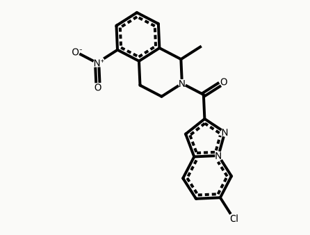 CC1c2cccc([N+](=O)[O-])c2CCN1C(=O)c1cc2ccc(Cl)cn2n1